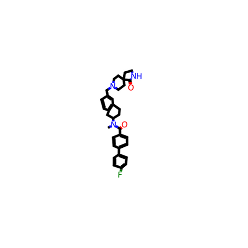 CN(C(=O)c1ccc(-c2ccc(F)cc2)cc1)C1CCc2cc(CN3CCC4(CCNC4=O)CC3)ccc2C1